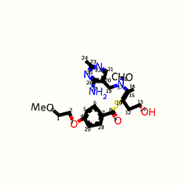 COCCOc1ccc(C(=O)S/C(CCO)=C(/C)N(C=O)Cc2cnc(C)nc2N)cc1